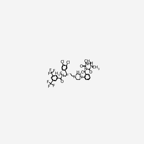 CNC(=O)N(C(=O)NC)[C@@H](C)c1ccccc1N1CCN(CC[C@H](CN(C)C(=O)c2cc(C(F)(F)F)cc(C(F)(F)F)c2)c2ccc(Cl)c(Cl)c2)CC1